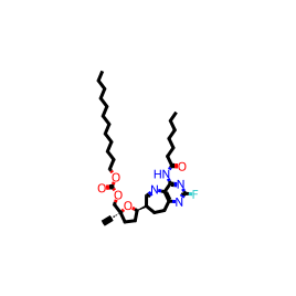 C#C[C@@]1(COC(=O)OCCCCCCCCCCCC)CC[C@H](C2C=Nc3c(nc(F)nc3NC(=O)CCCCCC)CC2)O1